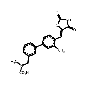 Cc1cc(-c2cccc(CN(C)C(=O)O)c2)ccc1C=C1SC(=O)NC1=O